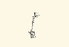 C=CC(=O)OCCCCCCCCn1ccc(=O)[nH]c1=S